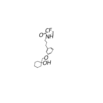 O=C(NCCCc1cccc(OCC2(O)CCCCC2)c1)C(F)(F)F